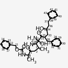 CC(CC(=O)[C@@H](C)NC(=O)OCc1ccccc1)C(N)C(N)(O)C(=O)C(Cc1ccccc1)C[C@@H](O)CCc1ccccc1